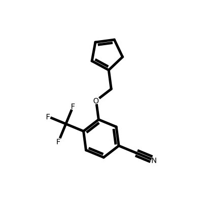 N#Cc1ccc(C(F)(F)F)c(OCC2=CC=CC2)c1